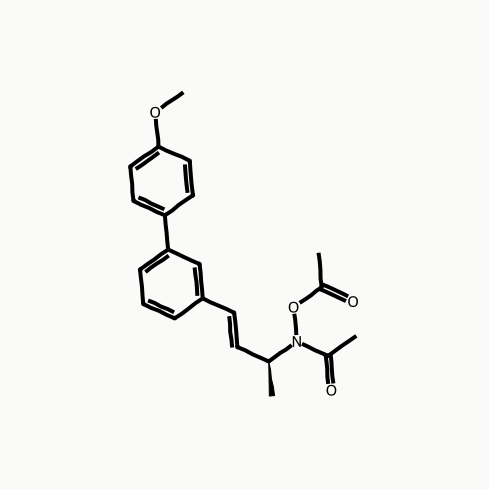 COc1ccc(-c2cccc(/C=C/[C@H](C)N(OC(C)=O)C(C)=O)c2)cc1